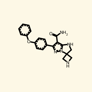 NC(=O)c1c(-c2ccc(Oc3ccccc3)cc2)nn2c1NCC21CNC1